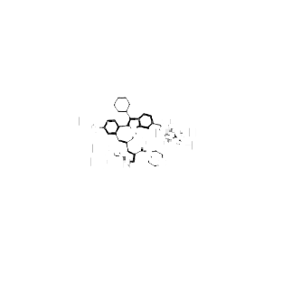 COc1ccc2c(c1)C=C(c1c(C(=O)N3CCOCC3)cnn1C(C)C)Cn1c-2c(C2CCCCC2)c2ccc(C(=O)NS(=O)(=O)N(C)C)cc21